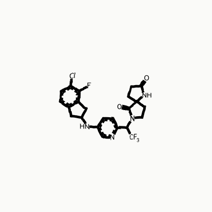 O=C1CCC2(CCN(C(c3ccc(NC4Cc5ccc(Cl)c(F)c5C4)cn3)C(F)(F)F)C2=O)N1